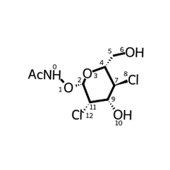 CC(=O)NO[C@@H]1O[C@H](CO)[C@@H](Cl)[C@H](O)[C@@H]1Cl